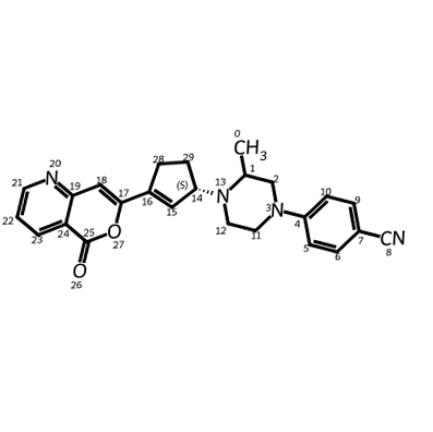 CC1CN(c2ccc(C#N)cc2)CCN1[C@@H]1C=C(c2cc3ncccc3c(=O)o2)CC1